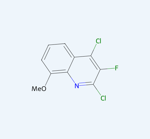 COc1cccc2c(Cl)c(F)c(Cl)nc12